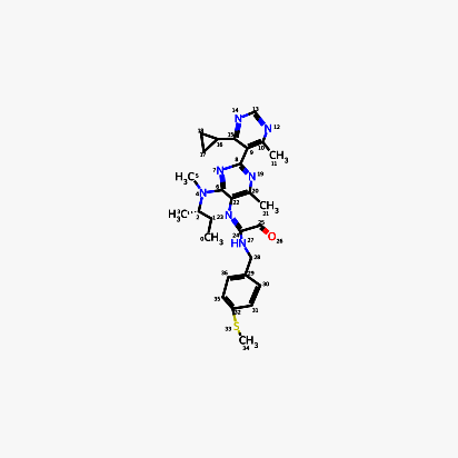 CC[C@H](C)N(C)c1nc(-c2c(C)ncnc2C2CC2)nc(C)c1/N=C(\C=O)NCc1ccc(SC)cc1